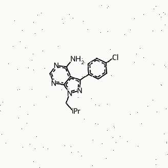 CC(C)Cn1nc(-c2ccc(Cl)cc2)c2c(N)ncnc21